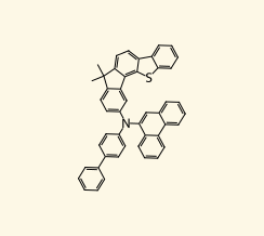 CC1(C)c2ccc(N(c3ccc(-c4ccccc4)cc3)c3cc4ccccc4c4ccccc34)cc2-c2c1ccc1c2sc2ccccc21